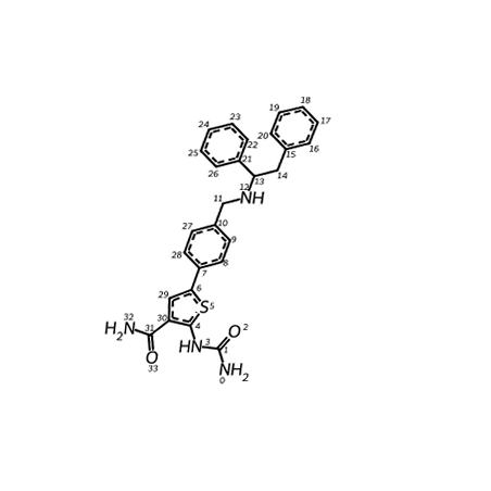 NC(=O)Nc1sc(-c2ccc(CNC(Cc3ccccc3)c3ccccc3)cc2)cc1C(N)=O